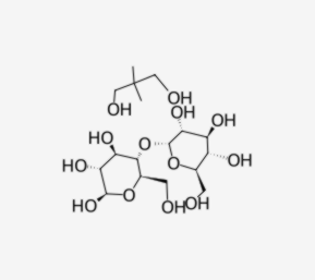 CC(C)(CO)CO.OC[C@H]1O[C@H](O[C@H]2[C@H](O)[C@@H](O)[C@H](O)O[C@@H]2CO)[C@H](O)[C@@H](O)[C@@H]1O